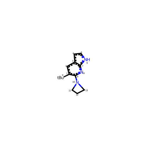 CC(C)(C)c1cc2cc[nH]c2nc1N1CCC1